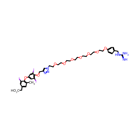 Cc1cc(CC(=O)O)cc(I)c1Oc1cc(I)c(OCc2cn(CCOCCOCCOCCOCCOCCOCCOc3ccc(CNC(=N)N)cc3)nn2)c(I)c1